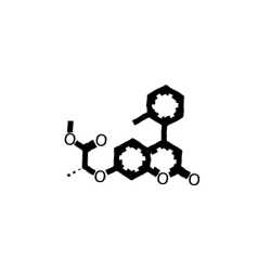 COC(=O)[C@@H](C)Oc1ccc2c(-c3ccccc3C)cc(=O)oc2c1